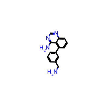 NCc1cccc(-c2cccc3ncnc(N)c23)c1